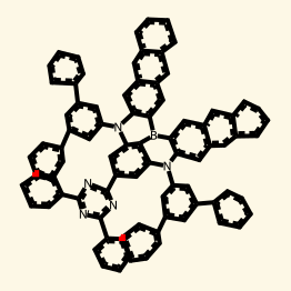 c1ccc(-c2cc(-c3ccccc3)cc(N3c4cc5cc6ccccc6cc5cc4B4c5cc6cc7ccccc7cc6cc5N(c5cc(-c6ccccc6)cc(-c6ccccc6)c5)c5cc(-c6nc(-c7ccccc7)nc(-c7ccccc7)n6)cc3c54)c2)cc1